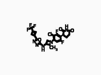 C[C@@H]1C(Nc2nnc(C34CC(C(F)(F)F)(C3)C4)o2)CN1c1cc(F)c([C@@H]2CCC(=O)NC2=O)c(F)c1Cl